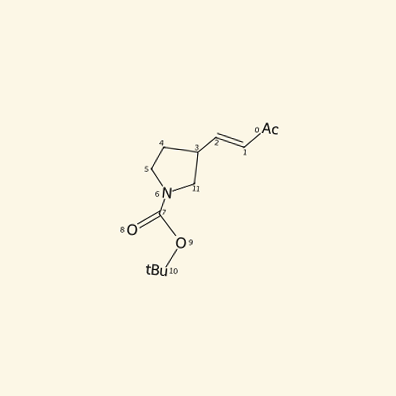 CC(=O)C=CC1CCN(C(=O)OC(C)(C)C)C1